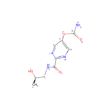 C[C@@H](O)CNC(=O)c1ncc(OC(N)=O)cn1